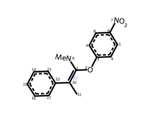 CN/C(Oc1ccc([N+](=O)[O-])cc1)=C(/C)c1ccccc1